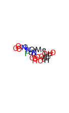 COc1c(N2CC3CCCN(Cc4oc(=O)oc4C)C3C2)c(F)cc2c(=O)c(C(=O)OCC(=O)[C@]3(O)CC[C@@H]4[C@H]5CCC6=CC(=O)CC[C@@]6(C)[C@@H]5[C@H](O)C[C@]43C)cn(C3CC3)c12